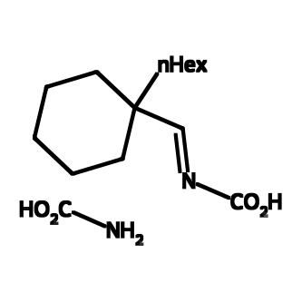 CCCCCCC1(C=NC(=O)O)CCCCC1.NC(=O)O